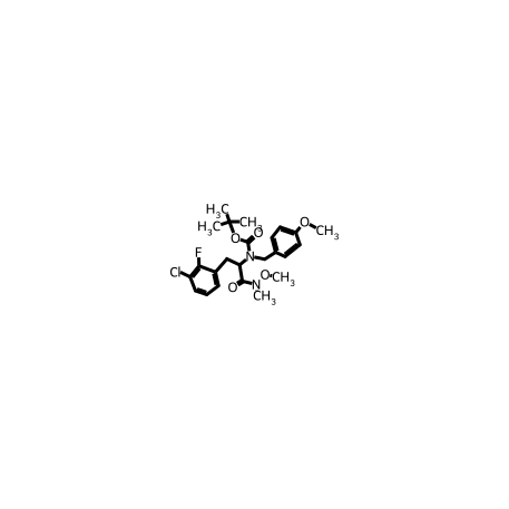 COc1ccc(CN(C(=O)OC(C)(C)C)C(Cc2cccc(Cl)c2F)C(=O)N(C)OC)cc1